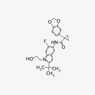 CC(C)(C)c1cc2cc(NC(=O)C3(c4ccc5c(c4)OCO5)CC3)c(F)cc2n1CCO